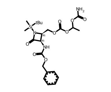 CC(OC(N)=O)OC(=O)OC[C@H]1[C@@H](NC(=O)OCc2ccccc2)C(=O)N1[Si](C)(C)C(C)(C)C